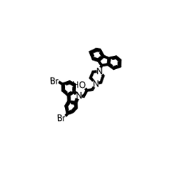 OC(CN1CCN(C2c3ccccc3-c3ccccc32)CC1)Cn1c2ccc(Br)cc2c2cc(Br)ccc21